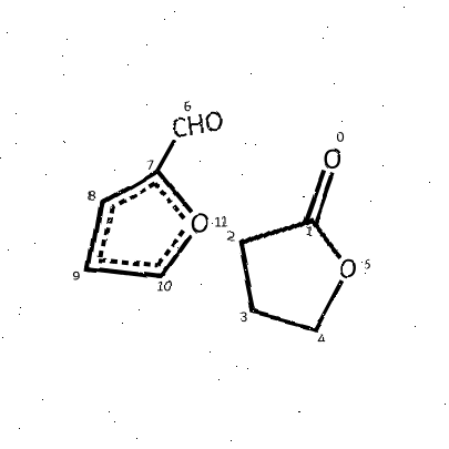 O=C1CCCO1.O=Cc1ccco1